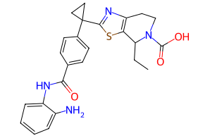 CCC1c2sc(C3(c4ccc(C(=O)Nc5ccccc5N)cc4)CC3)nc2CCN1C(=O)O